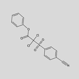 N#Cc1ccc(S(=O)(=O)C(Cl)(Cl)C(=O)Oc2ccccc2)cc1